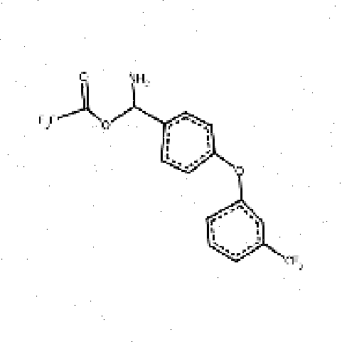 NC(OC(=O)C(F)(F)F)c1ccc(Oc2cccc(C(F)(F)F)c2)cc1